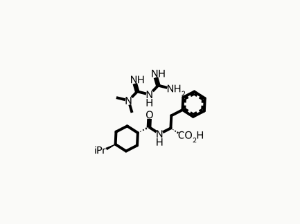 CC(C)[C@H]1CC[C@H](C(=O)N[C@H](Cc2ccccc2)C(=O)O)CC1.CN(C)C(=N)NC(=N)N